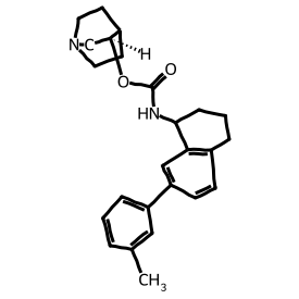 Cc1cccc(-c2ccc3c(c2)C(NC(=O)O[C@H]2CN4CCC2CC4)CCC3)c1